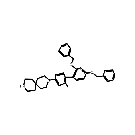 Cc1cc(N2CCC3(CCNCC3)CC2)ccc1-c1ccc(OCc2ccccc2)nc1OCc1ccccc1